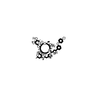 CC[C@H]1OC(=O)[C@H](C)[C@@H](O[C@H]2C[C@@](C)(OC)[C@@H](O)[C@H](C)O2)[C@H](C)[C@@H](O[C@@H]2O[C@H](C)C[C@H](N(C)CCc3cn(CC4CC(c5cccc(Oc6ccc(Cl)cc6)c5)=NO4)nn3)[C@H]2O)[C@](C)(O)C[C@@H](C)CN(C)[C@H](C)[C@@H](O)[C@]1(C)O